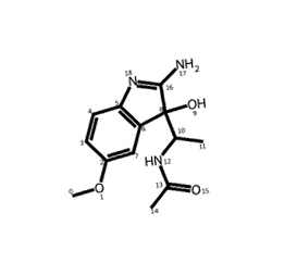 COc1ccc2c(c1)C(O)(C(C)NC(C)=O)C(N)=N2